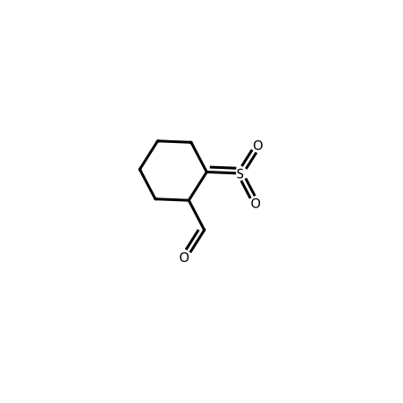 O=CC1CCCCC1=S(=O)=O